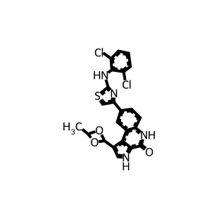 CC1OC(c2c[nH]c3c(=O)[nH]c4ccc(-c5csc(Nc6c(Cl)cccc6Cl)n5)cc4c23)O1